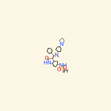 CC(C)S(=O)(=O)Nc1ccc2c(c1)C(=C(c1ccccc1)N(C)c1ccc(N3CCCC3)cc1)C(=O)N2